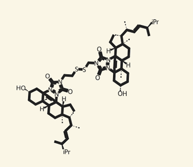 CC(C)[C@@H](C)/C=C/[C@@H](C)[C@H]1CC[C@H]2C34C=CC5(C[C@@H](O)CC[C@]5(C)[C@H]3CC[C@]12C)n1c(=O)n(CCSSCn2c(=O)n3n(c2=O)C25C=CC36[C@@H]3CC[C@H]([C@H](C)/C=C/[C@H](C)C(C)C)[C@@]3(C)CC[C@@H]6[C@@]2(C)CC[C@H](O)C5)c(=O)n14